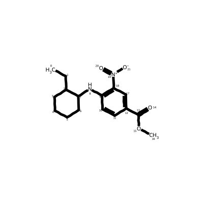 CCC1CCCCC1Nc1ccc(C(=O)OC)cc1[N+](=O)[O-]